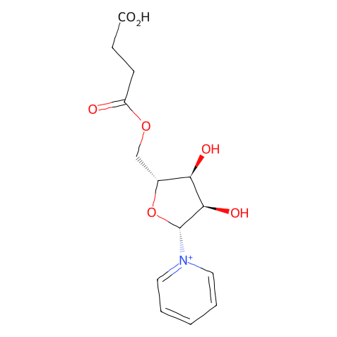 O=C(O)CCC(=O)OC[C@H]1O[C@@H]([n+]2ccccc2)[C@H](O)[C@@H]1O